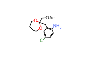 CC(=O)OCC1(Cc2cc(Cl)ccc2N)OCCCCO1